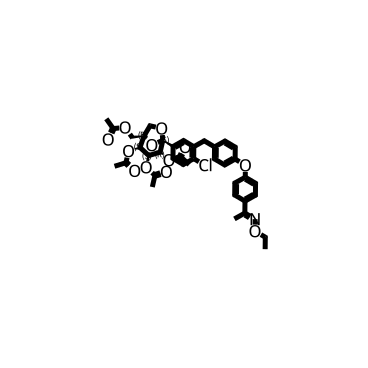 CCON=C(C)c1ccc(Oc2ccc(Cc3cc([C@]45OC[C@](COC(C)=O)(O4)[C@@H](OC(C)=O)[C@H](OC(C)=O)[C@H]5OC(C)=O)ccc3Cl)cc2)cc1